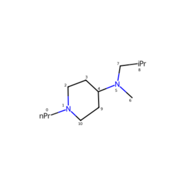 CCCN1CCC(N(C)CC(C)C)CC1